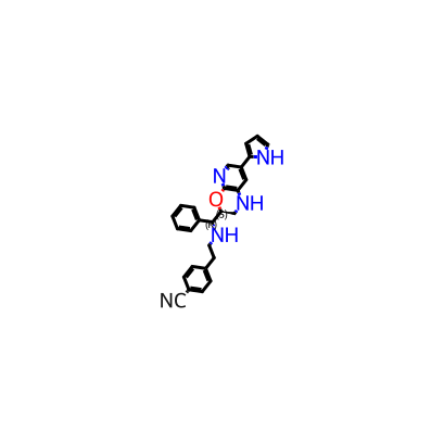 N#Cc1ccc(CCN[C@H](c2ccccc2)[C@@H]2CNc3cc(-c4ccc[nH]4)cnc3O2)cc1